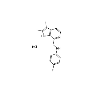 Cc1[nH]c2c(CNc3ccc(F)cc3)nccc2c1C.Cl